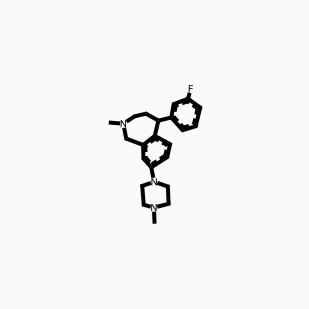 CN1CCN(c2ccc3c(c2)CN(C)CCC3c2cccc(F)c2)CC1